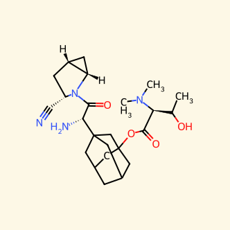 CC(O)[C@@H](C(=O)OC12CC3CC(C1)CC([C@H](N)C(=O)N1[C@H](C#N)C[C@@H]4C[C@@H]41)(C3)C2)N(C)C